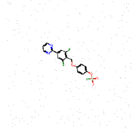 O=S(=O)(F)Oc1ccc(OCc2c(F)cc(-c3ncccn3)cc2F)cc1